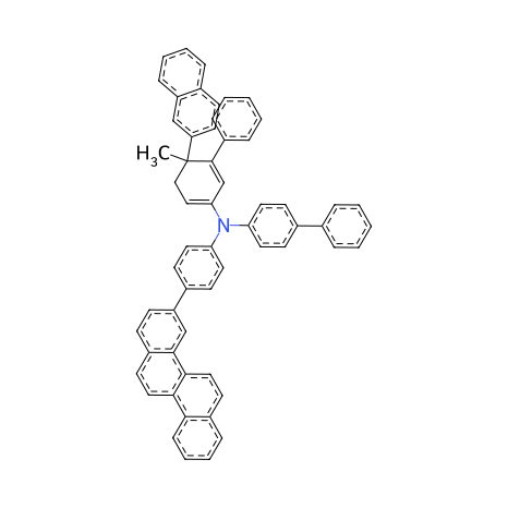 CC1(c2ccc3ccccc3c2)CC=C(N(c2ccc(-c3ccccc3)cc2)c2ccc(-c3ccc4ccc5c6ccccc6ccc5c4c3)cc2)C=C1c1ccccc1